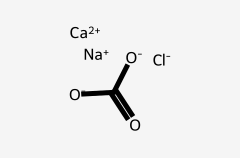 O=C([O-])[O-].[Ca+2].[Cl-].[Na+]